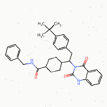 CC(C)(C)c1ccc(CC(C2CCC(C(=O)NCc3ccccc3)CC2)n2c(=O)[nH]c3ccccc3c2=O)cc1